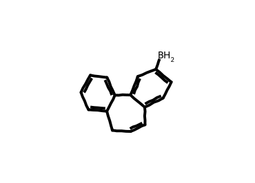 Bc1ccc2c(c1)-c1ccccc1CC=C2